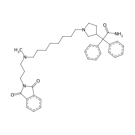 CN(CCCCCCCCN1CCC(C(C(N)=O)(c2ccccc2)c2ccccc2)C1)CCCN1C(=O)c2ccccc2C1=O